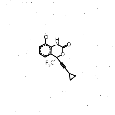 O=C1Nc2c(Cl)cccc2[C@@](C#CC2CC2)(C(F)(F)F)O1